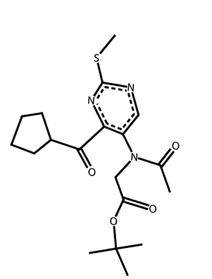 CSc1ncc(N(CC(=O)OC(C)(C)C)C(C)=O)c(C(=O)C2CCCC2)n1